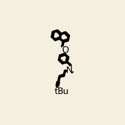 CN(C/C=C/C#CC(C)(C)C)Cc1cccc(OCc2cccc3ccccc23)c1